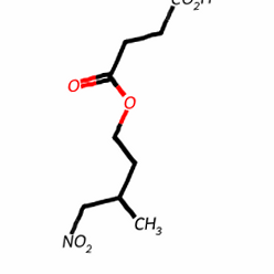 CC(CCOC(=O)CCC(=O)O)C[N+](=O)[O-]